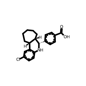 O=C(O)c1ccc([C@@H]2Nc3ccc(Cl)cc3[C@@H]3CCCCC[C@@H]32)cc1